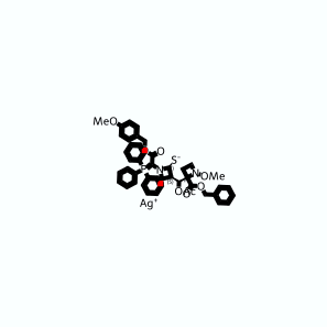 COc1ccc(COC(=O)C(N2C(=O)[C@H](C(OC(C)=O)[C@@]3(C(=O)OCc4ccccc4)CCN3OC)[C@H]2[S-])=P(c2ccccc2)(c2ccccc2)c2ccccc2)cc1.[Ag+]